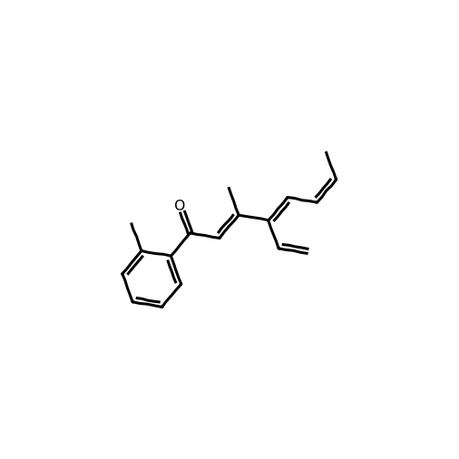 C=CC(=C\C=C/C)/C(C)=C/C(=O)c1ccccc1C